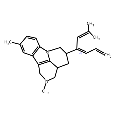 C=C/C=C(\C=C(C)C)C1CC2CN(C)Cc3c2n(c2ccc(C)cc32)C1